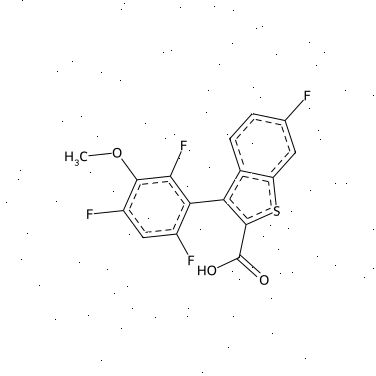 COc1c(F)cc(F)c(-c2c(C(=O)O)sc3cc(F)ccc23)c1F